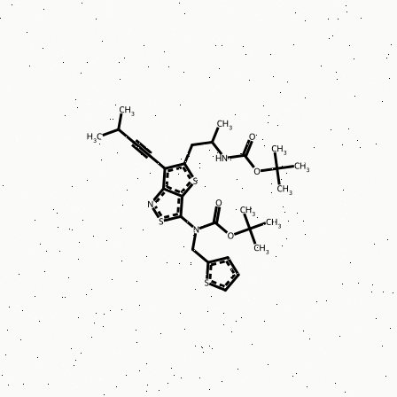 CC(C)C#Cc1c(CC(C)NC(=O)OC(C)(C)C)sc2c(N(Cc3cccs3)C(=O)OC(C)(C)C)snc12